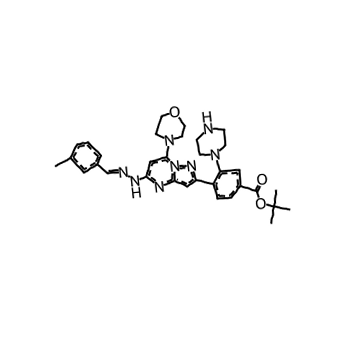 Cc1cccc(C=NNc2cc(N3CCOCC3)n3nc(-c4ccc(C(=O)OC(C)(C)C)cc4N4CCNCC4)cc3n2)c1